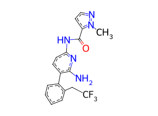 Cn1nccc1C(=O)Nc1ccc(-c2ccccc2CC(F)(F)F)c(N)n1